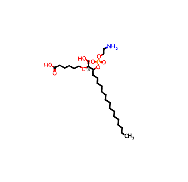 CCCCCCCCCCCCCCCCC(OP(=O)(O)OCCN)[C@H](CO)OCCCCCC(=O)O